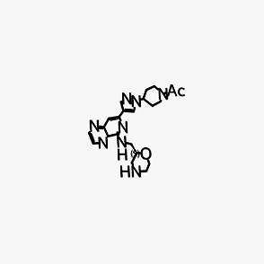 CC(=O)N1CCC(n2cc(-c3cc4nccnc4c(NC[C@@H]4CNCCO4)n3)cn2)CC1